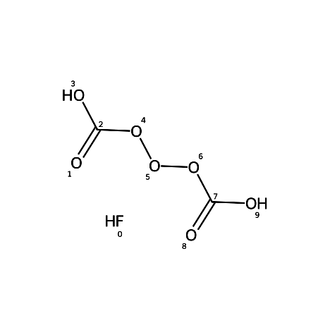 F.O=C(O)OOOC(=O)O